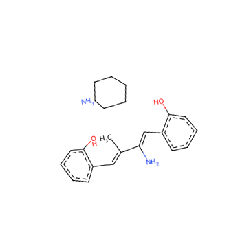 C1CCCCC1.CC(=Cc1ccccc1O)C(N)=Cc1ccccc1O.N